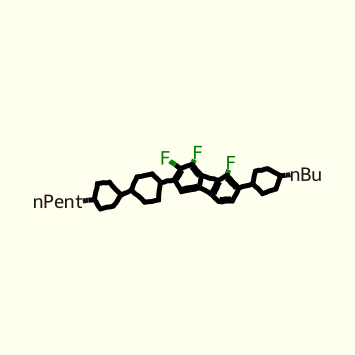 CCCCCC1CCC(C2CCC(c3cc4c(c(F)c3F)-c3c-4ccc(C4CCC(CCCC)CC4)c3F)CC2)CC1